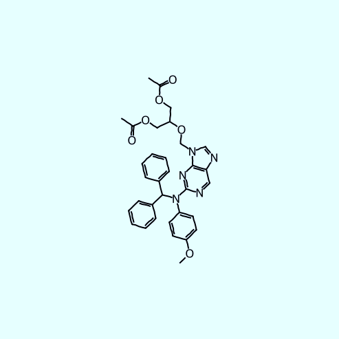 COc1ccc(N(c2ncc3ncn(COC(COC(C)=O)COC(C)=O)c3n2)C(c2ccccc2)c2ccccc2)cc1